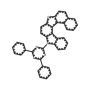 c1ccc(-c2nc(-c3ccccc3)nc(-n3c4ccccc4c4c5c(ccc43)oc3ccc4ccccc4c35)n2)cc1